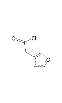 O=C(Cl)Cc1ccoc1